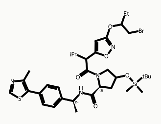 CCC(CBr)Oc1cc(C(C(=O)N2CC(O[Si](C)(C)C(C)(C)C)C[C@H]2C(=O)N[C@@H](C)c2ccc(-c3scnc3C)cc2)C(C)C)on1